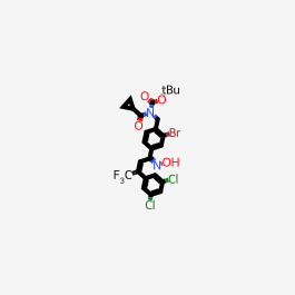 CC(C)(C)OC(=O)N(Cc1ccc(C(C=C(c2cc(Cl)cc(Cl)c2)C(F)(F)F)=NO)cc1Br)C(=O)C1CC1